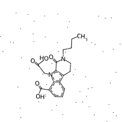 CCCCN1CCc2c(n(CC(=O)O)c3c(C(=O)O)cccc23)C1=O